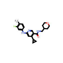 O=C(NCC1CCOCC1)c1cnc(Nc2ccc(C(F)(F)F)c(F)c2)cc1C1CC1